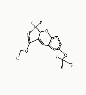 O=C(OCCl)C1=Cc2cc(OC(F)(F)F)ccc2OC1C(F)(F)F